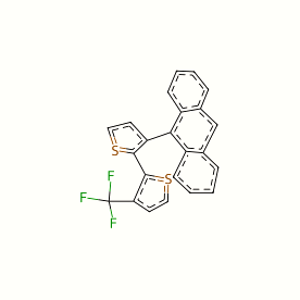 FC(F)(F)c1ccsc1-c1sccc1-c1c2ccccc2cc2ccccc12